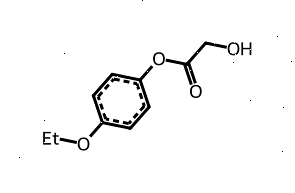 CCOc1ccc(OC(=O)CO)cc1